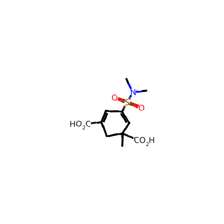 CN(C)S(=O)(=O)C1=CC(C)(C(=O)O)CC(C(=O)O)=C1